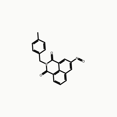 Cc1ccc(CN2C(=O)c3cccc4cc(N=O)cc(c34)C2=O)cc1